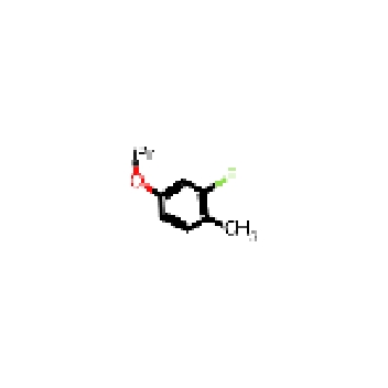 Cc1ccc(OC(C)C)cc1F